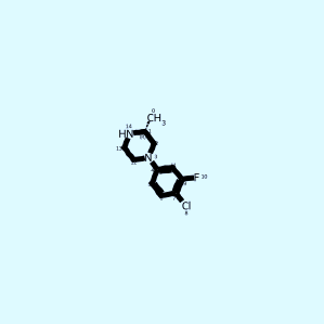 C[C@@H]1CN(c2ccc(Cl)c(F)c2)CCN1